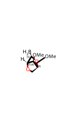 B[C@@H]1O[C@@]23CO[C@@H]1[C@@]2(OC)C3OC